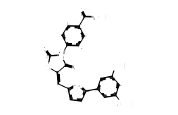 Cc1cc(C)cc(-c2ccc(C=C3SC(=S)N(c4ccc(C(=O)O)cc4)C3=O)o2)c1